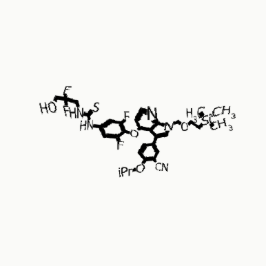 CC(C)Oc1ccc(-c2cn(COCC[Si](C)(C)C)c3nccc(Oc4c(F)cc(NC(=S)NCC(F)(F)CO)cc4F)c23)cc1C#N